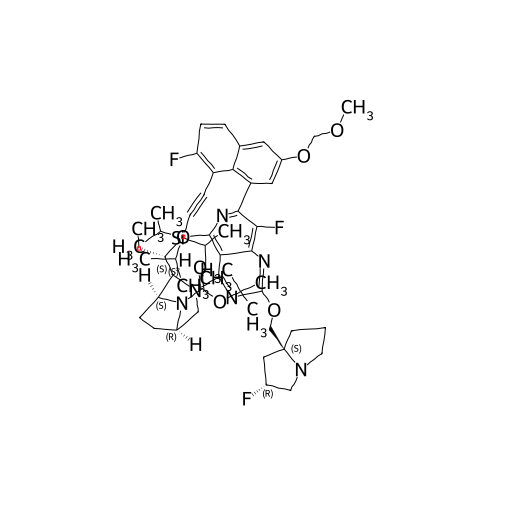 CC[C@@H]1Oc2nc(-c3cc(OCOC)cc4ccc(F)c(C#C[Si](C(C)C)(C(C)C)C(C)C)c34)c(F)c3nc(OC[C@@]45CCCN4C[C@H](F)C5)nc(c23)N2C[C@H]3CC[C@@H]([C@@H]12)N3C(=O)OC(C)(C)C